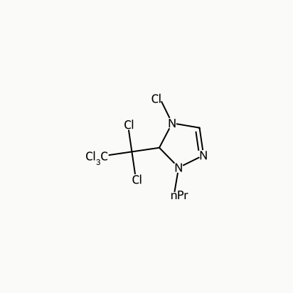 CCCN1N=CN(Cl)C1C(Cl)(Cl)C(Cl)(Cl)Cl